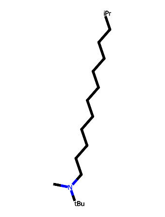 CC(C)CCCCCCCCCCCN(C)C(C)(C)C